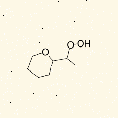 CC(OO)C1CCCCO1